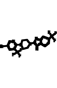 FC(F)(F)c1ccc2[nH]c(N3CCN(c4ncc(Br)cc4C(F)(F)F)CC3)nc2c1